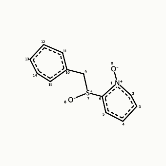 [O-][n+]1ccccc1[S+]([O-])Cc1ccccc1